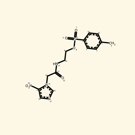 Cc1ccc(S(=O)(=O)OCCNC(=O)Cn2cncc2[N+](=O)[O-])cc1